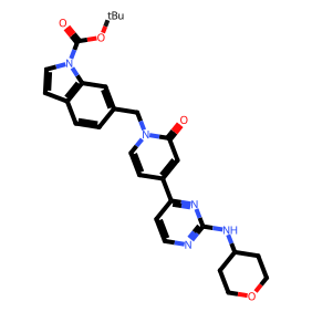 CC(C)(C)OC(=O)n1ccc2ccc(Cn3ccc(-c4ccnc(NC5CCOCC5)n4)cc3=O)cc21